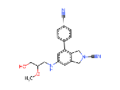 COC(CO)CNc1cc2c(c(-c3ccc(C#N)cc3)c1)CN(C#N)C2